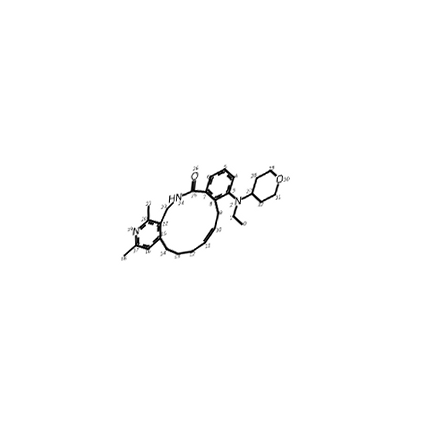 CCN(c1cccc2c1C/C=C\CCCc1cc(C)nc(C)c1CNC2=O)C1CCOCC1